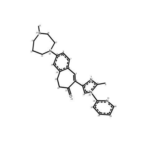 Cc1nc(C2=Cc3ccc(N4CCCN(C)CC4)cc3CCC2=O)cn1-c1ccccn1